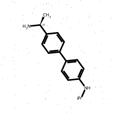 CC(C)Nc1ccc(-c2ccc([C@H](C)N)cc2)cc1